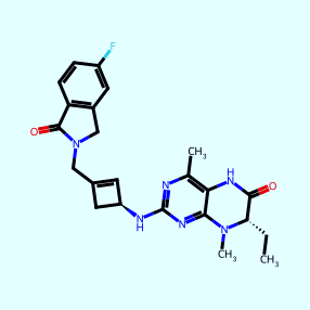 CC[C@H]1C(=O)Nc2c(C)nc(N[C@@H]3C=C(CN4Cc5cc(F)ccc5C4=O)C3)nc2N1C